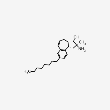 CCCCCCCCc1ccc2c(c1)C=CCC[C@@H]2C[C@](C)(N)CO